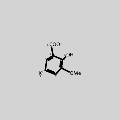 COc1cccc(C(=O)[O-])c1O.[K+]